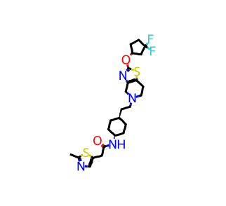 Cc1ncc(CC(=O)N[C@H]2CC[C@H](CCN3CCc4sc(OC5CCC(F)(F)C5)nc4C3)CC2)s1